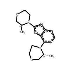 C[C@@H]1COCCN1c1ncnc2[nH]c(N3CCOC[C@@H]3C)nc12